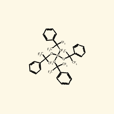 FC(F)(F)C([O][Al-]([O]C(c1ccccc1)(C(F)(F)F)C(F)(F)F)([O]C(c1ccccc1)(C(F)(F)F)C(F)(F)F)[O]C(c1ccccc1)(C(F)(F)F)C(F)(F)F)(c1ccccc1)C(F)(F)F